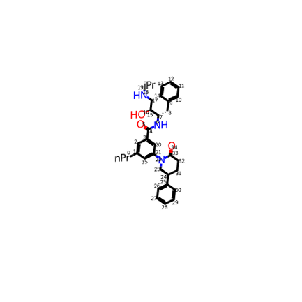 CCCc1cc(C(=O)N[C@@H](Cc2ccccc2)[C@@H](O)CNC(C)C)cc(N2CC(c3ccccc3)CCC2=O)c1